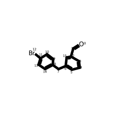 O=Cc1cccc(Cc2ccc(Br)cc2)c1